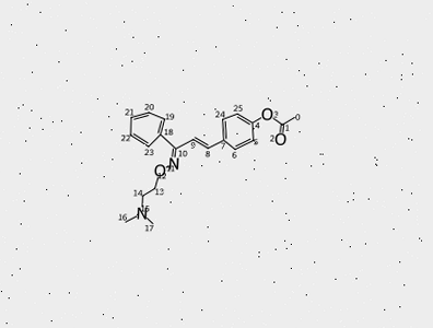 CC(=O)Oc1ccc(C=CC(=NOCCN(C)C)c2ccccc2)cc1